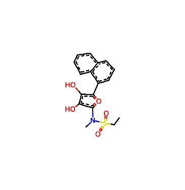 CCS(=O)(=O)N(C)c1oc(-c2cccc3ccccc23)c(O)c1O